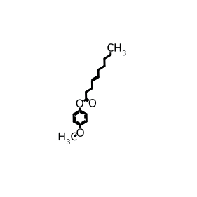 CCCCCC=CCCC(=O)Oc1ccc(OC)cc1